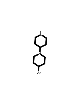 CC(=O)C1CCN(C2CCNCC2)CC1